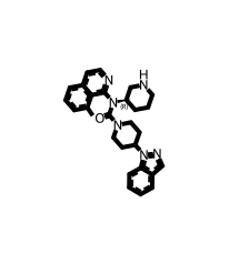 Cc1cccc2ccnc(N(C(=O)N3CCC(n4ncc5ccccc54)CC3)[C@@H]3CCCNC3)c12